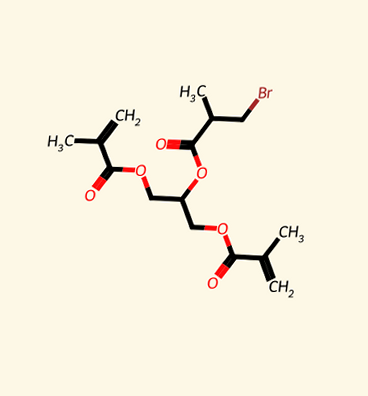 C=C(C)C(=O)OCC(COC(=O)C(=C)C)OC(=O)C(C)CBr